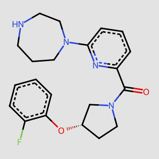 O=C(c1cccc(N2CCCNCC2)n1)N1CC[C@H](Oc2ccccc2F)C1